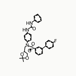 CC1(C)OCC(CN(c2ccc(NC(=O)Nc3ccccc3)cc2)S(=O)(=O)c2cccc(-c3ccc(F)cc3)c2)O1